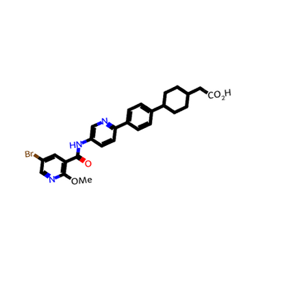 COc1ncc(Br)cc1C(=O)Nc1ccc(-c2ccc(C3CCC(CC(=O)O)CC3)cc2)nc1